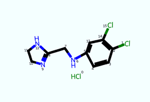 Cl.Clc1ccc(NCC2=NCCN2)cc1Cl